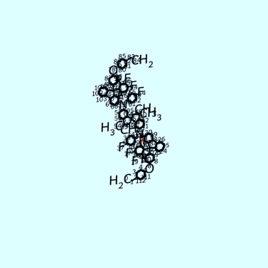 C=Cc1ccc(Oc2ccc(C3(c4c(F)cc(F)c(F)c4F)c4ccccc4-c4ccc(N(c5ccc(F)cc5)c5ccc6c(c5)C5(CC6(C)C)CC(C)(C)c6ccc(N(c7ccc(F)cc7)c7ccc8c(c7)C(c7ccc(Oc9ccc(C=C)cc9)cc7)(c7c(F)cc(F)c(F)c7F)c7ccccc7-8)cc65)cc43)cc2)cc1